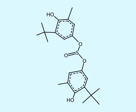 Cc1cc(OS(=O)Oc2cc(C)c(O)c(C(C)(C)C)c2)cc(C(C)(C)C)c1O